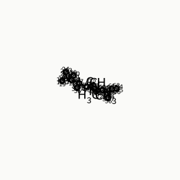 CC1(C)c2cc(-c3ccc(-c4ccc(N(c5ccccc5)c5ccccc5)c5ccccc45)c4ccccc34)ccc2-c2nc3c(nc21)-c1ccc(N(c2ccccc2)c2ccc4ccccc4c2)cc1C3(C)C